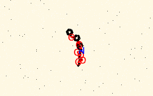 CCOC(=O)COC(=O)N(C)C12CCC(c3cccc(Oc4ccccc4)c3)(CC1)OC2